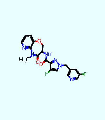 CN1C(=O)C(NC(=O)c2nn(Cc3cncc(F)c3)cc2F)COc2cccnc21